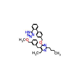 CCCCc1nc(CC)c(Cc2cccc(COC)c2)c(OCc2ccc(-c3ccccc3-c3nnn[nH]3)cc2)n1